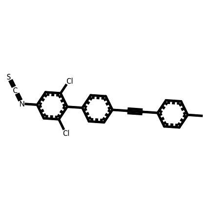 Cc1ccc(C#Cc2ccc(-c3c(Cl)cc(N=C=S)cc3Cl)cc2)cc1